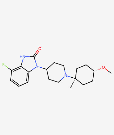 CO[C@H]1CC[C@](C)(N2CCC(n3c(=O)[nH]c4c(F)cccc43)CC2)CC1